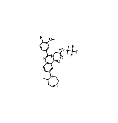 COc1cc(-c2nc3ccc(N4CCN=CCC4C)cc3c(=O)n2CC(=O)NC(C)(C)C(F)(F)F)ccc1F